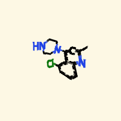 Cc1cc(N2CCNCC2)c2c(Cl)cccc2n1